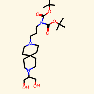 CC(C)(C)OC(=O)N(CCCN1CCC2(CC1)CCN(C(CO)CO)CC2)C(=O)OC(C)(C)C